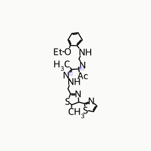 CCOc1ccccc1NC/N=C(C(C)=O)\C(C)=N/NCC1=NC(c2nccs2)C(C)S1